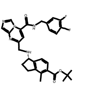 Cc1c(C(=O)OC(C)(C)C)ccc2c1CC[C@@H]2NCc1cc(C(=O)NCc2ccc(F)c(F)c2)n2cncc2n1